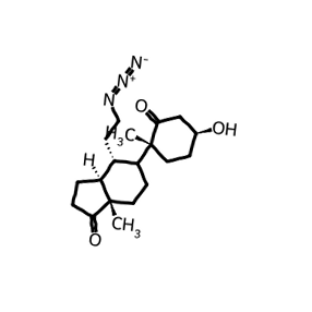 C[C@]1(C2CC[C@]3(C)C(=O)CC[C@H]3[C@@H]2CCN=[N+]=[N-])CC[C@H](O)CC1=O